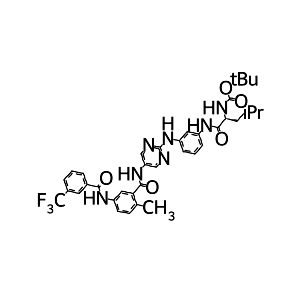 Cc1ccc(NC(=O)c2cccc(C(F)(F)F)c2)cc1C(=O)Nc1cnc(Nc2cccc(NC(=O)[C@H](CC(C)C)NC(=O)OC(C)(C)C)c2)nc1